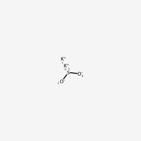 [K+].[K+].[O-]S[O-]